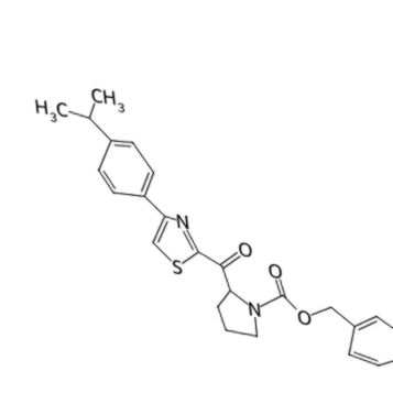 CC(C)c1ccc(-c2csc(C(=O)C3CCCN3C(=O)OCc3ccccc3)n2)cc1